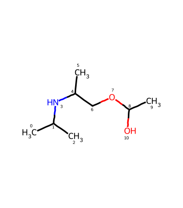 CC(C)NC(C)COC(C)O